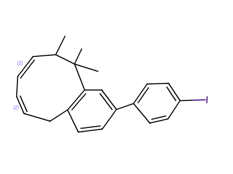 CC1/C=C\C=C/Cc2ccc(-c3ccc(I)cc3)cc2C1(C)C